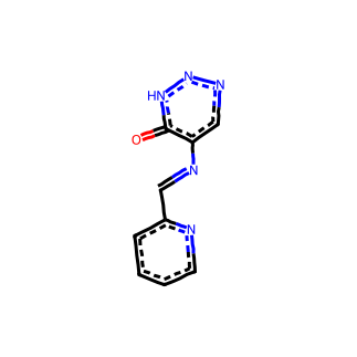 O=c1[nH]nncc1N=Cc1ccccn1